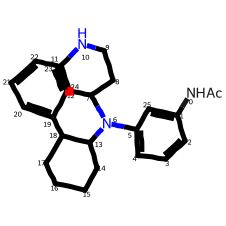 CC(=O)Nc1cccc(N(C2CCNCC2)C2CCCCC2c2ccccc2)c1